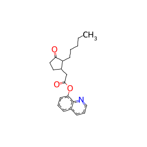 CCCCCC1C(=O)CCC1CC(=O)Oc1cccc2cccnc12